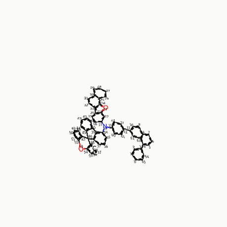 c1ccc(-c2cccc3ccc(-c4ccc(N(c5ccc6c(c5)oc5c7ccccc7ccc65)c5cccc6c5-c5ccccc5C65c6ccccc6Oc6ccccc65)cc4)cc23)cc1